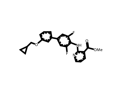 COC(=O)c1cccnc1Nc1c(F)cc(-c2cccc(OCC3CC3)c2)cc1F